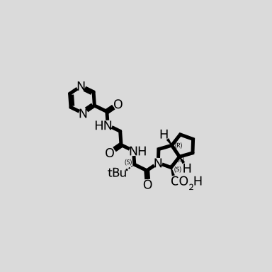 CC(C)(C)[C@H](NC(=O)CNC(=O)c1cnccn1)C(=O)N1C[C@@H]2CCC[C@@H]2[C@H]1C(=O)O